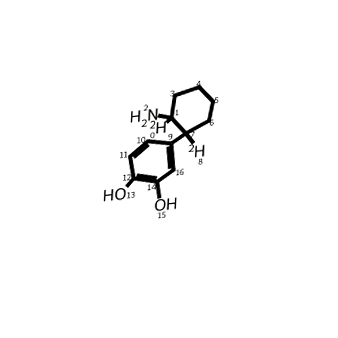 [2H]C1(N)[CH]CCCC1([2H])c1ccc(O)c(O)c1